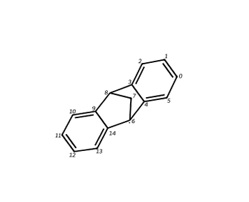 c1ccc2c(c1)[C]1CC2c2ccccc21